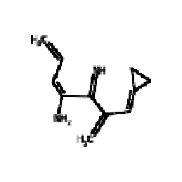 C=C/C=C(/N)C(=N)C(=C)C=C1CC1